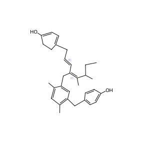 CCC(C)/C(C)=C(\C=C\CC1=CC=C(O)CC1)Cc1cc(Cc2ccc(O)cc2)c(C)cc1C